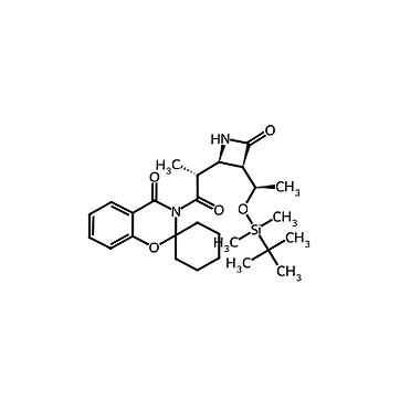 C[C@@H](O[Si](C)(C)C(C)(C)C)[C@@H]1C(=O)N[C@@H]1[C@@H](C)C(=O)N1C(=O)c2ccccc2OC12CCCCC2